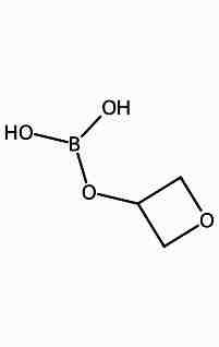 OB(O)OC1COC1